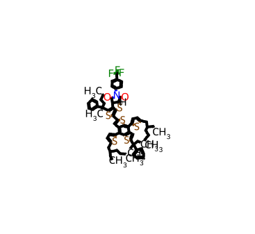 CCCCC(CC)Cc1ccc(-c2c3cc(C(CC)(CC)c4ccccc4)sc3c(-c3ccc(CC(CC)CCCC)s3)c3cc(-c4sc(C(C)(CCCC)c5ccccc5)c5c4S[C@@H]4C(=O)N(c6ccc(C(F)(F)F)cc6)C(=O)C54)sc23)s1